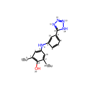 CC(C)(C)c1cc(Nc2cccc(-c3nnn[nH]3)c2)cc(C(C)(C)C)c1O